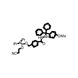 COc1ccc(C(NNC(=O)c2ccc(COP(OCCC#N)N(C(C)C)C(C)C)cc2)(c2ccccc2)c2ccccc2)cc1